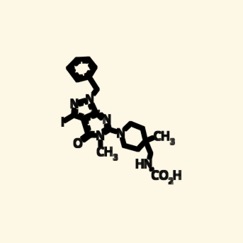 Cn1c(N2CCC(C)(CNC(=O)O)CC2)nc2c(c(I)nn2Cc2ccccc2)c1=O